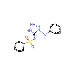 NN/C(=N\S(=O)(=O)c1ccccc1)NNc1ccccc1